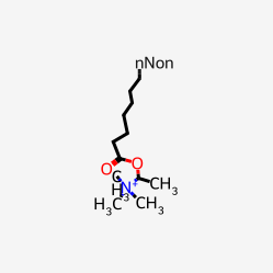 CCCCCCCCCCCCCCCC(=O)OC(C)[N+](C)(C)C